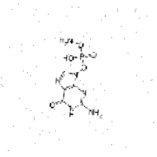 NOP(=O)(O)On1cnc2c(=O)[nH]c(N)nc21